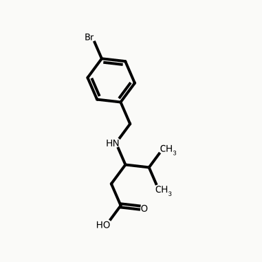 CC(C)C(CC(=O)O)NCc1ccc(Br)cc1